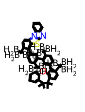 BC(B)(B)c1ccc(-c2c(C(B)(B)B)ccc3c2Oc2ccccc2C(C)(C)C3(C)C)cc1-c1cc(-c2c(C(B)(B)B)ccc3c2sc2nc4ccccc4n23)ccc1C(B)(B)B